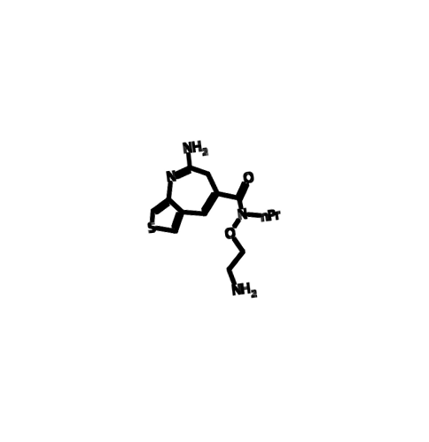 CCCN(OCCN)C(=O)C1=Cc2cscc2N=C(N)C1